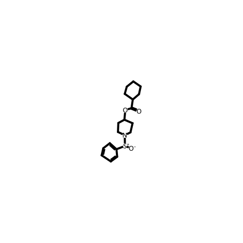 O=C(OC1CCN([S+]([O-])c2ccccc2)CC1)C1CCCCC1